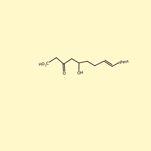 CCCCCC=CCCC(O)CC(=O)CC(=O)O